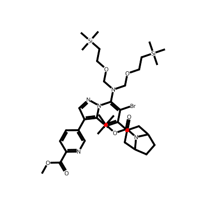 COC(=O)c1ccc(-c2cnn3c(N(COCC[Si](C)(C)C)COCC[Si](C)(C)C)c(Br)c(C4CC5CCC(C4)N5C(=O)OC(C)(C)C)nc23)cn1